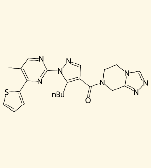 CCCCc1c(C(=O)N2CCn3cnnc3C2)cnn1-c1ncc(C)c(-c2cccs2)n1